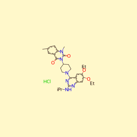 CCOc1cc2nc(NC(C)C)nc(N3CCC(n4c(=O)c5cc(C)ccc5n(C)c4=O)CC3)c2cc1OCC.Cl